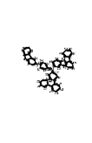 c1ccc2c(c1)Cc1ccc(-c3ccc(N(c4ccc5c6ccccc6c6ccccc6c5c4)c4ccc5c(c4)c4cccc6c7ccccc7n5c64)cc3)cc1-2